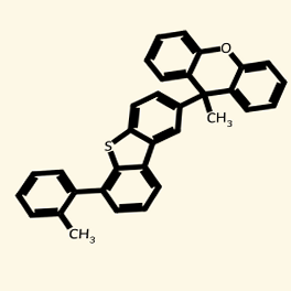 Cc1ccccc1-c1cccc2c1sc1ccc(C3(C)c4ccccc4Oc4ccccc43)cc12